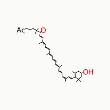 CC(=O)CCCC(C)(C)C(=O)/C=C/C(C)=C/C=C/C(C)=C/C=C/C=C(C)/C=C/C=C(C)\C=C\C1=C(C)CC(O)CC1(C)C